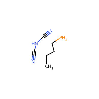 CCCCP.N#CNC#N